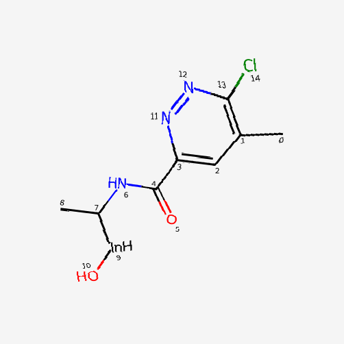 Cc1cc(C(=O)N[CH](C)[InH][OH])nnc1Cl